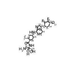 CCc1cc(Nc2nccn3c(-c4ccc(OC)c(F)c4F)cnc23)ccc1C(=O)N[C@](O)(CN)CO